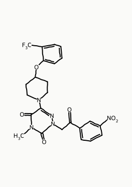 Cn1c(=O)c(N2CCC(Oc3ccccc3C(F)(F)F)CC2)nn(CC(=O)c2cccc([N+](=O)[O-])c2)c1=O